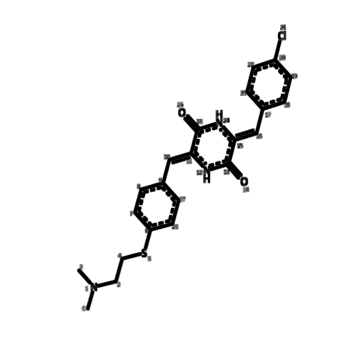 CN(C)CCSc1ccc(C=c2[nH]c(=O)c(=Cc3ccc(Cl)cc3)[nH]c2=O)cc1